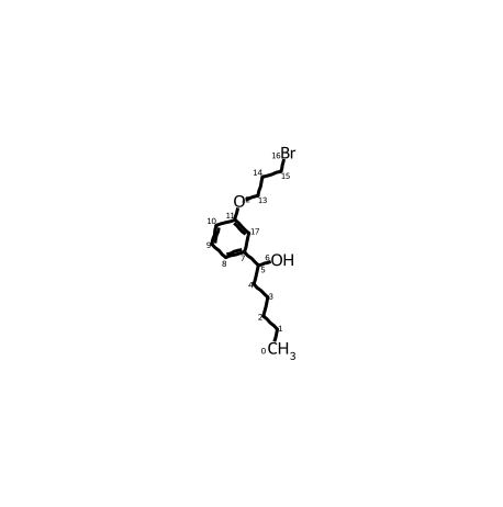 CCCCCC(O)c1cccc(OCCCBr)c1